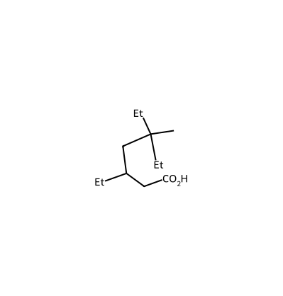 CCC(CC(=O)O)CC(C)(CC)CC